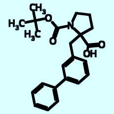 CC(C)(C)OC(=O)N1CCCC1(Cc1cccc(-c2ccccc2)c1)C(=O)O